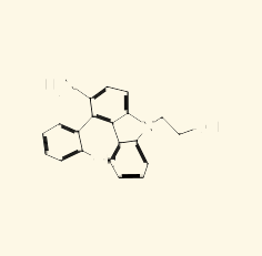 Nc1ccc2c(c1-c1ccccc1O)c1ccccc1n2CCO